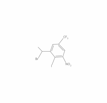 CC(Br)c1cc(C(F)(F)F)cc([N+](=O)[O-])c1I